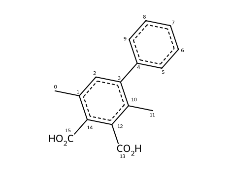 Cc1cc(-c2ccccc2)c(C)c(C(=O)O)c1C(=O)O